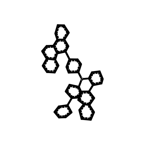 c1ccc(-c2ccc(N(c3ccc(-c4cc5ccccc5c5ccc6ccccc6c45)cc3)c3ccccc3-c3ccc4ccccc4c3)cc2)cc1